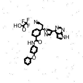 N#CCC(c1cccc(C(=O)Nc2ccc(Oc3ccccc3)cc2)c1)n1cc(-c2ncnc3[nH]ccc23)cn1.O=C(O)C(F)(F)F